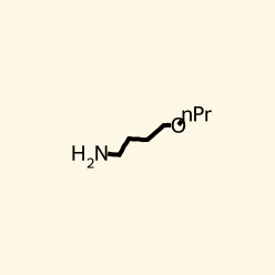 [CH2]CCOCCCCN